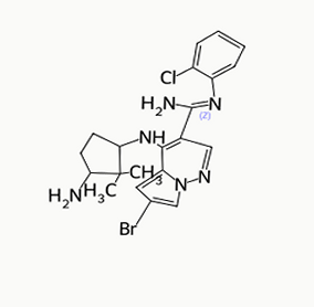 CC1(C)C(N)CCC1Nc1c(/C(N)=N/c2ccccc2Cl)cnn2cc(Br)cc12